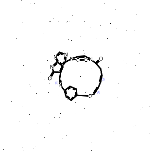 O=C1N=c2ncnc3c2=C1/C=N\c1ccc(cc1)O/C=C\C=C/CC(=O)N1C=CN3CC1